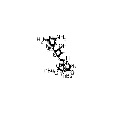 CCCCOC(=O)[C@H](C)NP(=O)(/C=C/[C@@H]1C[C@@H](O)[C@H](n2cnc3c(N)nc(N)nc32)O1)N[C@@H](C)C(=O)OCCCC